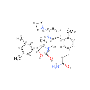 COc1ccc(CCC(N)=O)cc1-c1ccc(N2CCC2)nc1CN1C(=O)O[C@H](c2cc(C)cc(C)c2)[C@@H]1C